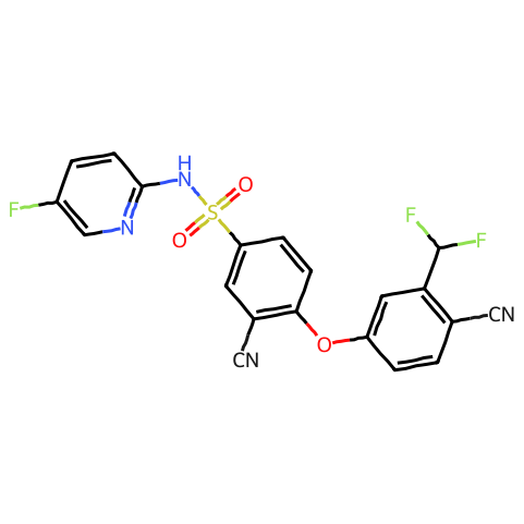 N#Cc1cc(S(=O)(=O)Nc2ccc(F)cn2)ccc1Oc1ccc(C#N)c(C(F)F)c1